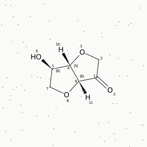 O=C1CO[C@H]2[C@H](O)CO[C@@H]12